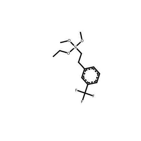 CCO[Si](CCc1cccc(C(F)(F)F)c1)(OC)OC